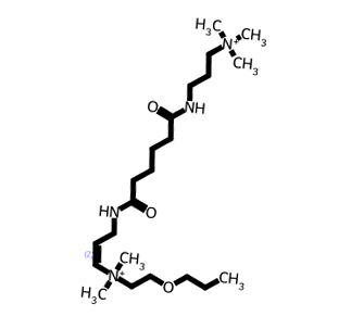 CCCOCC[N+](C)(C)/C=C\CNC(=O)CCCCC(=O)NCCC[N+](C)(C)C